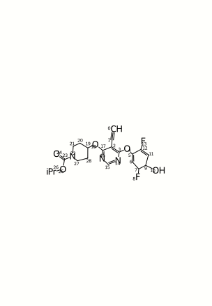 C#Cc1c(OC2=CC(F)C(O)C=C2F)ncnc1OC1CCN(C(=O)OC(C)C)CC1